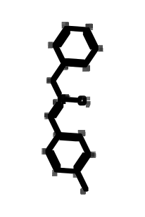 Cc1ccc(C=[N+]([O-])Cc2ccccc2)cc1